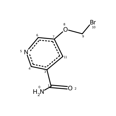 NC(=O)c1cncc(OCBr)c1